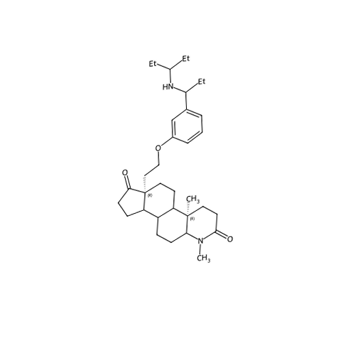 CCC(CC)NC(CC)c1cccc(OCC[C@]23CCC4C(CCC5N(C)C(=O)CC[C@]45C)C2CCC3=O)c1